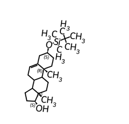 CC(C)(C)[Si](C)(C)O[C@H]1CC[C@@]2(C)C(=CCC3C2CC[C@@]2(C)C3CC[C@@H]2O)C1